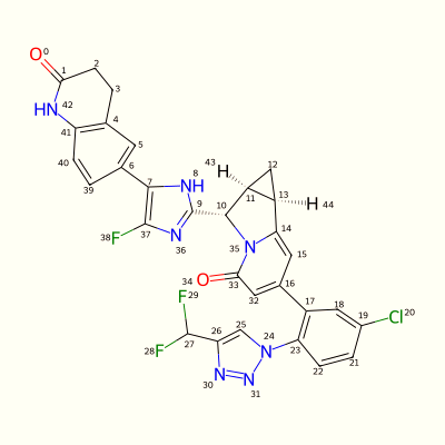 O=C1CCc2cc(-c3[nH]c([C@@H]4[C@H]5C[C@H]5c5cc(-c6cc(Cl)ccc6-n6cc(C(F)F)nn6)cc(=O)n54)nc3F)ccc2N1